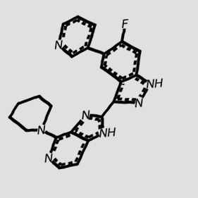 Fc1cc2[nH]nc(-c3nc4c(N5CCCCC5)nccc4[nH]3)c2cc1-c1cccnc1